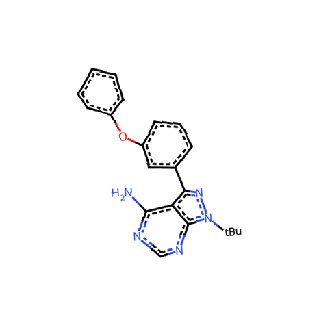 CC(C)(C)n1nc(-c2cccc(Oc3ccccc3)c2)c2c(N)ncnc21